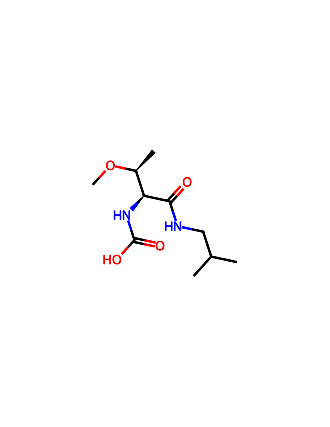 CO[C@@H](C)[C@H](NC(=O)O)C(=O)NCC(C)C